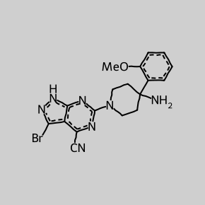 COc1ccccc1C1(N)CCN(c2nc(C#N)c3c(Br)n[nH]c3n2)CC1